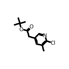 Cc1cc(CC(=O)OC(C)(C)C)cnc1Cl